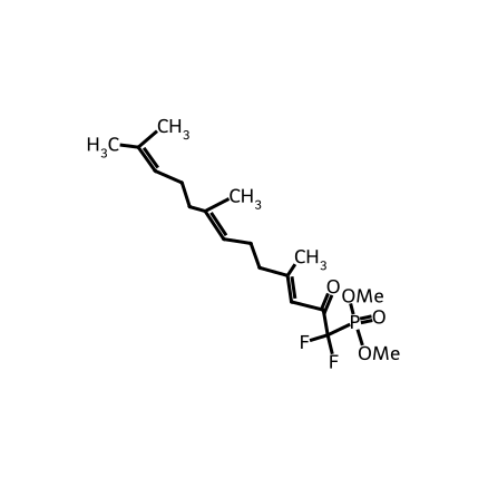 COP(=O)(OC)C(F)(F)C(=O)/C=C(\C)CC/C=C(\C)CCC=C(C)C